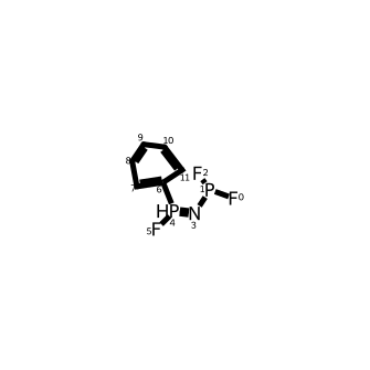 FP(F)/N=[PH](/F)c1ccccc1